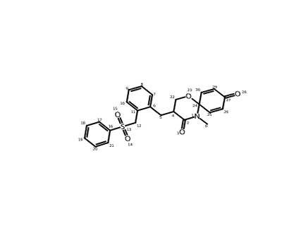 CN1C(=O)C(Cc2ccccc2CS(=O)(=O)c2ccccc2)COC12C=CC(=O)C=C2